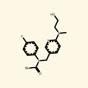 CN(CCO)c1ccc(CN(C(=O)C(C)(C)C)c2ccc(F)cc2)cn1